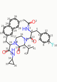 CC(=O)NC(Cc1ccc(F)cc1)C(=O)N1CCN(C(Cc2ccc3ccccc3c2)C(=O)NC2CC2)C(=O)C1C(C)C